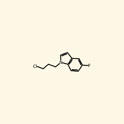 Fc1ccc2c(ccn2CCCCl)c1